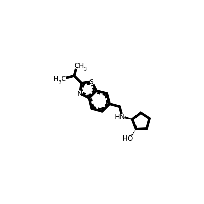 CC(C)c1nc2ccc(CN[C@H]3CCC[C@@H]3O)cc2s1